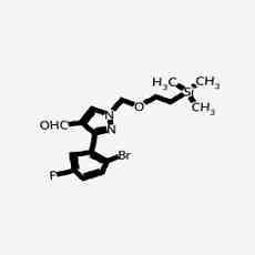 C[Si](C)(C)CCOCn1cc(C=O)c(-c2cc(F)ccc2Br)n1